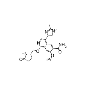 Cc1nc(-c2cnc(OCC3CCC(=O)N3)c3cc(OC(C)C)c(C(N)=O)cc23)cn1C